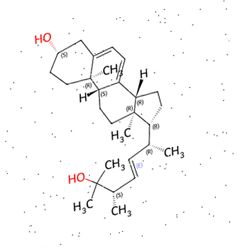 C[C@H](/C=C/[C@H](C)C(C)(C)O)[C@H]1CC[C@H]2C3=CC=C4C[C@@H](O)CC[C@]4(C)[C@H]3CC[C@]12C